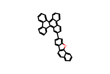 c1ccc2c(c1)ccc1c3ccc(-c4ccc5c6ccccc6c6c7ccccc7c7ccccc7c6c5c4)cc3oc21